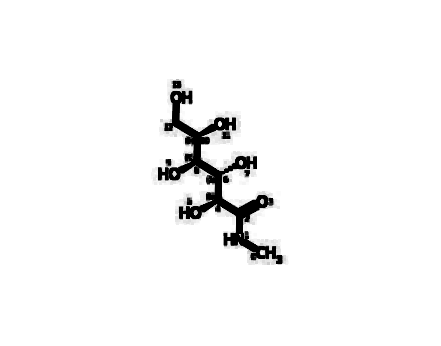 CNC(=O)[C@@H](O)[C@@H](O)[C@@H](O)[C@H](O)CO